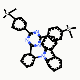 C[Si](C)(C)c1ccc(-c2nc(-c3ccc([Si](C)(C)C)cc3)nc(-c3ccccc3-n3c4ccccc4c4ccccc43)n2)cc1